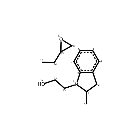 CC1Cc2ccccc2N1CCO.CCC1CO1